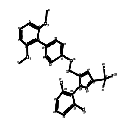 COc1cccc(OC)c1-c1ccc(OCc2cc(C(F)(F)F)nn2-c2c(Cl)cccc2Cl)cc1